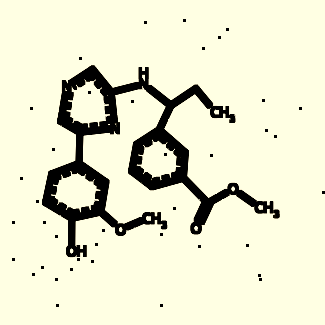 CCC(Nc1cncc(-c2ccc(O)c(OC)c2)n1)c1cccc(C(=O)OC)c1